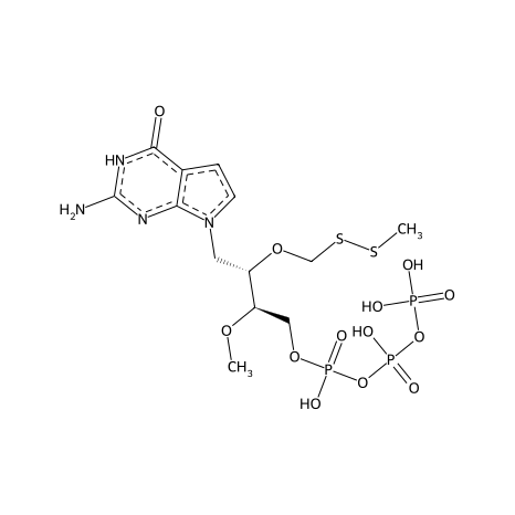 CO[C@H](COP(=O)(O)OP(=O)(O)OP(=O)(O)O)[C@H](Cn1ccc2c(=O)[nH]c(N)nc21)OCSSC